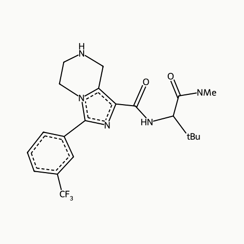 CNC(=O)C(NC(=O)c1nc(-c2cccc(C(F)(F)F)c2)n2c1CNCC2)C(C)(C)C